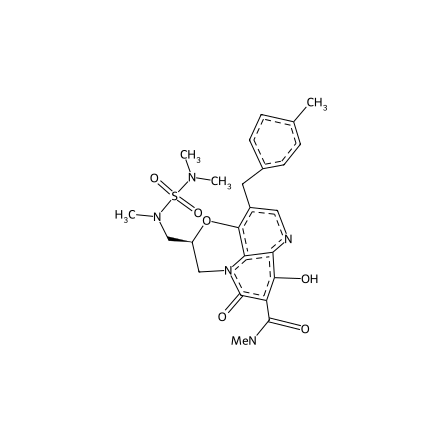 CNC(=O)c1c(O)c2ncc(Cc3ccc(C)cc3)c3c2n(c1=O)C[C@@H](CN(C)S(=O)(=O)N(C)C)O3